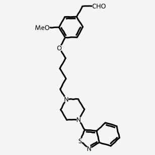 COc1cc(CC=O)ccc1OCCCCN1CCN(c2snc3ccccc23)CC1